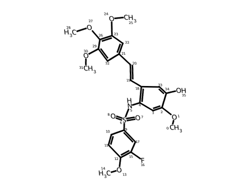 COc1cc(NS(=O)(=O)c2ccc(OC)c(F)c2)c(C=Cc2cc(OC)c(OC)c(OC)c2)cc1O